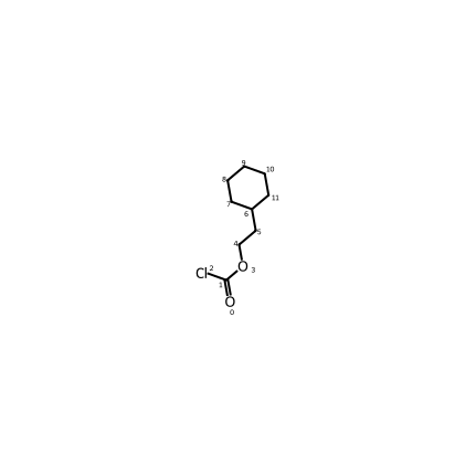 O=C(Cl)OCCC1CCCCC1